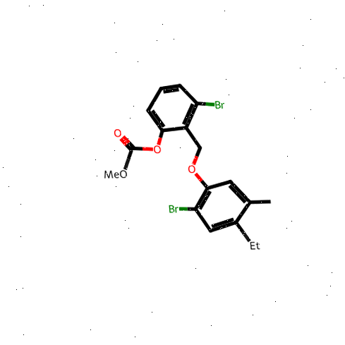 CCc1cc(Br)c(OCc2c(Br)cccc2OC(=O)OC)cc1C